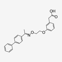 C/C(=N\OCCOc1cccc(CC(=O)O)c1)c1ccc(-c2ccccc2)cc1